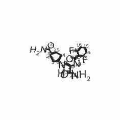 NC(=O)c1ccc(Nc2oc(-c3c(F)cccc3F)nc2C(N)=O)cc1